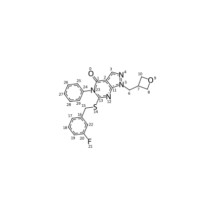 O=c1c2cnn(CC3COC3)c2nc(SCc2cccc(F)c2)n1-c1ccccc1